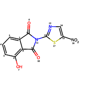 O=C1c2cccc(O)c2C(=O)N1c1ncc([N+](=O)[O-])s1